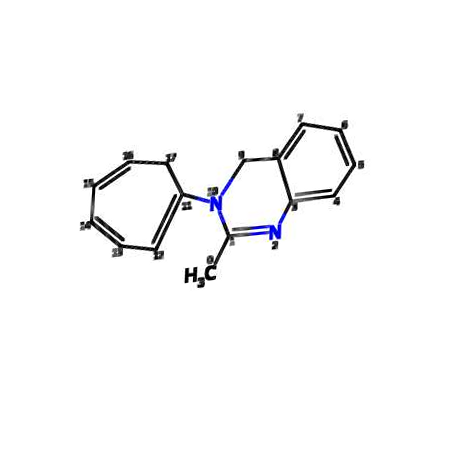 CC1=Nc2ccccc2CN1C1=CC=CC=CC1